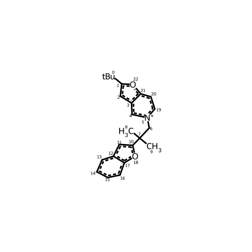 CC(C)(C)c1cc2c[n+](CC(C)(C)c3cc4ccccc4o3)ccc2o1